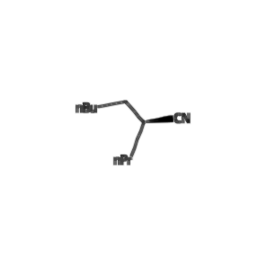 CCCCC[C@@H](C#N)CCC